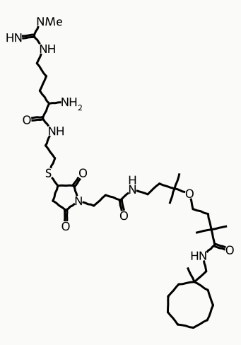 CNC(=N)NCCCC(N)C(=O)NCCSC1CC(=O)N(CCC(=O)NCCC(C)(C)OCCC(C)(C)C(=O)NCC2(C)CCCCCCCC2)C1=O